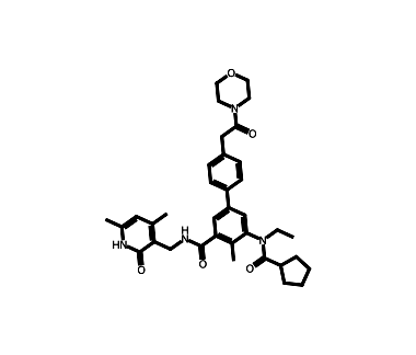 CCN(C(=O)C1CCCC1)c1cc(-c2ccc(CC(=O)N3CCOCC3)cc2)cc(C(=O)NCc2c(C)cc(C)[nH]c2=O)c1C